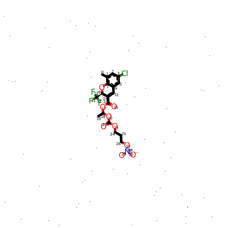 Cc1cc(Cl)cc2c1O[C@H](C(F)(F)F)C(C(=O)OC(C)OC(=O)OCCCO[N+](=O)[O-])=C2